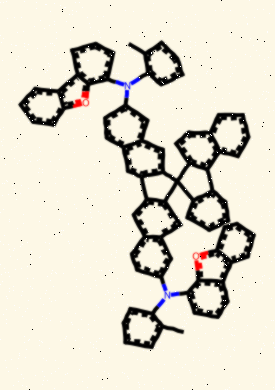 Cc1ccccc1N(c1ccc2cc3c(cc2c1)C1(c2cc4cc(N(c5ccccc5C)c5cccc6c5oc5ccccc56)ccc4cc2-3)c2ccccc2-c2c1ccc1ccccc21)c1cccc2c1oc1ccccc12